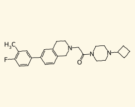 Cc1cc(-c2ccc3c(c2)CCN(CC(=O)N2CCN(C4CCC4)CC2)C3)ccc1F